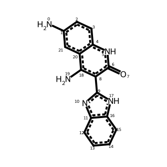 Nc1ccc2[nH]c(=O)c(-c3nc4ccccc4[nH]3)c(N)c2c1